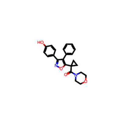 O=C(N1CCOCC1)C1(c2onc(-c3ccc(O)cc3)c2-c2ccccc2)CC1